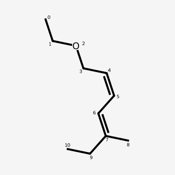 CCOC/C=C\C=C(/C)CC